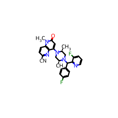 C[C@H]1CN(C(c2ccc(F)cc2)c2ncccc2F)[C@@H](C)CN1c1cc(=O)n(C)c2ccc(C#N)nc12